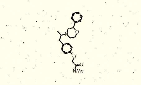 CNC(=O)COc1ccc(CC(C)N2CCOC(c3ccccc3)C2)cc1